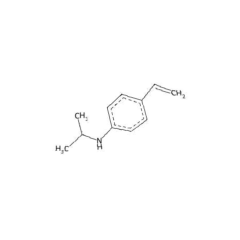 C=Cc1ccc(NC(C)C)cc1